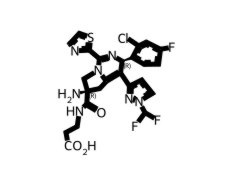 N[C@]1(C(=O)NCCC(=O)O)CC2=C(c3ccn(C(F)F)n3)[C@H](c3ccc(F)cc3Cl)N=C(c3nccs3)N2C1